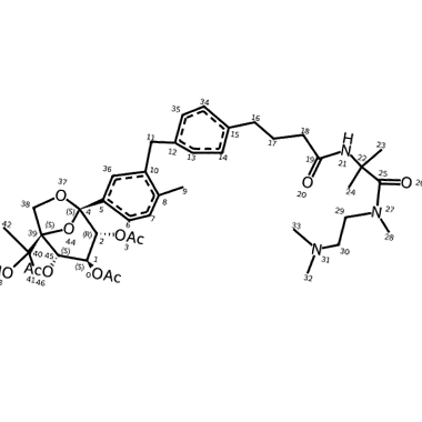 CC(=O)O[C@@H]1[C@@H](OC(C)=O)[C@@]2(c3ccc(C)c(Cc4ccc(CCCC(=O)NC(C)(C)C(=O)N(C)CCN(C)C)cc4)c3)OC[C@](C(C)(C)O)(O2)[C@H]1OC(C)=O